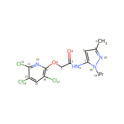 Cc1cc(NC(=O)COc2nc(Cl)c(Cl)cc2Cl)n(C(C)C)n1